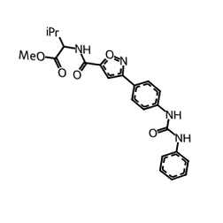 COC(=O)C(NC(=O)c1cc(-c2ccc(NC(=O)Nc3ccccc3)cc2)no1)C(C)C